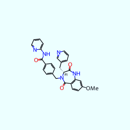 COc1ccc2c(c1)NC(=O)[C@@H](Cc1cccnc1)N(Cc1ccc(C(=O)Nc3ccccn3)cc1)C2=O